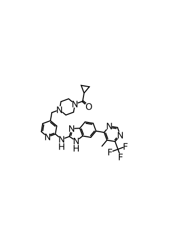 Cc1c(-c2ccc3nc(Nc4cc(CN5CCN(C(=O)C6CC6)CC5)ccn4)[nH]c3c2)ncnc1C(F)(F)F